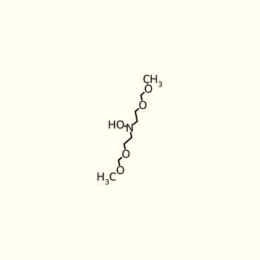 COCOCCN(O)CCOCOC